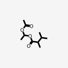 CC(=O)OC(C)OC(=O)C(C)C(C)C